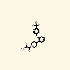 C=C(F)C(=O)N1CCC(c2cccnc2Oc2ccc(C(F)(F)F)nc2)CC1